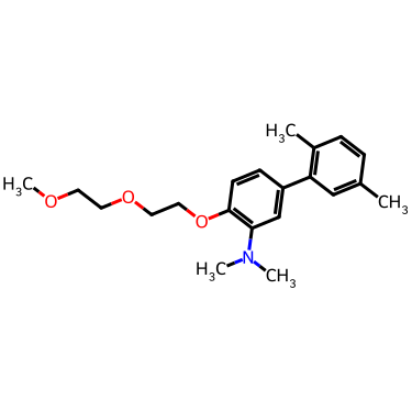 COCCOCCOc1ccc(-c2cc(C)ccc2C)cc1N(C)C